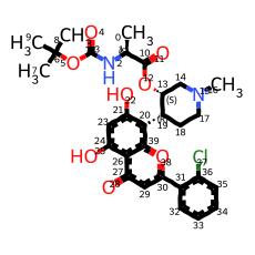 C[C@H](NC(=O)OC(C)(C)C)C(=O)O[C@@H]1CN(C)CC[C@@H]1c1c(O)cc(O)c2c(=O)cc(-c3ccccc3Cl)oc12